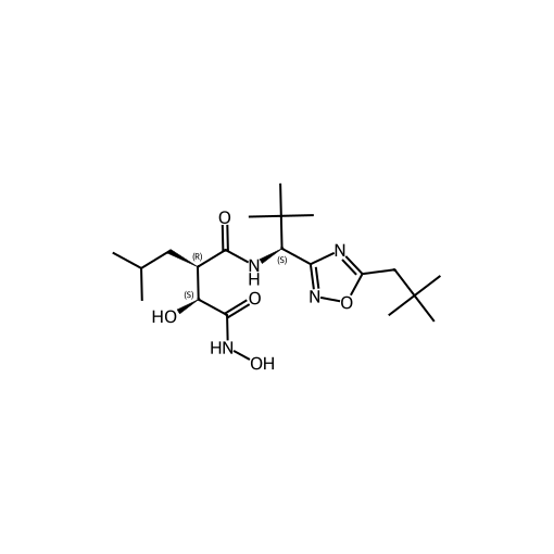 CC(C)C[C@@H](C(=O)N[C@H](c1noc(CC(C)(C)C)n1)C(C)(C)C)[C@H](O)C(=O)NO